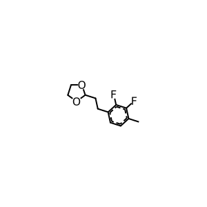 Cc1ccc(CCC2OCCO2)c(F)c1F